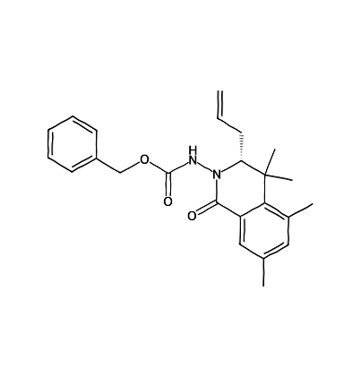 C=CC[C@H]1N(NC(=O)OCc2ccccc2)C(=O)c2cc(C)cc(C)c2C1(C)C